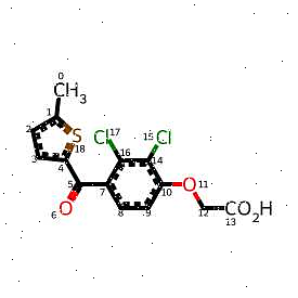 Cc1ccc(C(=O)c2ccc(OCC(=O)O)c(Cl)c2Cl)s1